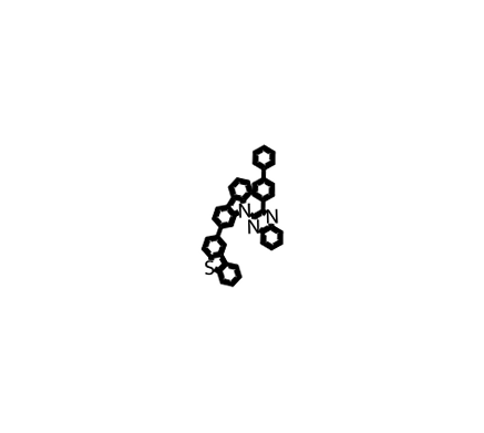 c1ccc(-c2ccc(-c3nc4ccccc4nc3-n3c4ccccc4c4ccc(-c5ccc6sc7ccccc7c6c5)cc43)cc2)cc1